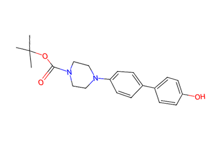 CC(C)(C)OC(=O)N1CCN(c2ccc(-c3ccc(O)cc3)cc2)CC1